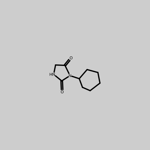 O=C1CNC(=O)N1C1CCCCC1